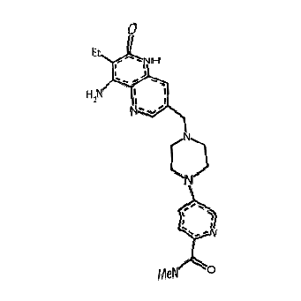 CCc1c(N)c2ncc(CN3CCN(c4ccc(C(=O)NC)nc4)CC3)cc2[nH]c1=O